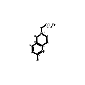 CCOC(=O)CN1CCc2nc(C)ccc2C1